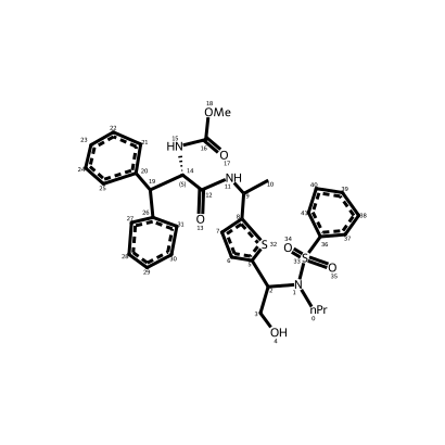 CCCN(C(CO)c1ccc(C(C)NC(=O)[C@@H](NC(=O)OC)C(c2ccccc2)c2ccccc2)s1)S(=O)(=O)c1ccccc1